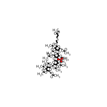 COC(=O)CCSCCO[C@H]1O[C@H](COC(C)=O)[C@@H](O[C@@H]2O[C@H](COC(C)=O)[C@@H](O[C@@H]3O[C@H](CO[C@@H]4O[C@H](COC(C)=O)[C@@H](OC(C)=O)[C@H](OC(C)=O)[C@H]4OC(C)=O)[C@@H](OC(C)=O)[C@H](OC(C)=O)[C@H]3OC(C)=O)[C@H](OC(C)=O)[C@H]2OC(C)=O)[C@H](OC(C)=O)[C@H]1OC(C)=O